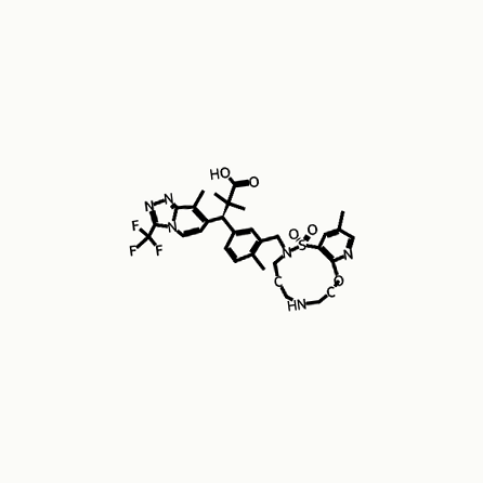 Cc1cnc2c(c1)S(=O)(=O)N(Cc1cc([C@@H](c3ccn4c(C(F)(F)F)nnc4c3C)C(C)(C)C(=O)O)ccc1C)CCCNCCO2